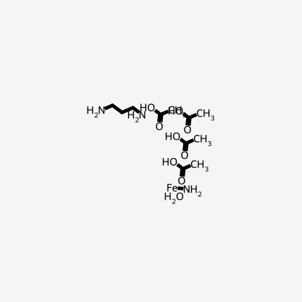 CC(=O)O.CC(=O)O.CC(=O)O.CC(=O)O.NCCCN.O.[NH2][Fe]